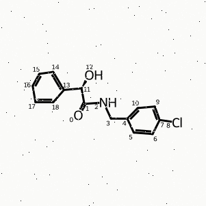 O=C(NCc1ccc(Cl)cc1)[C@H](O)c1ccccc1